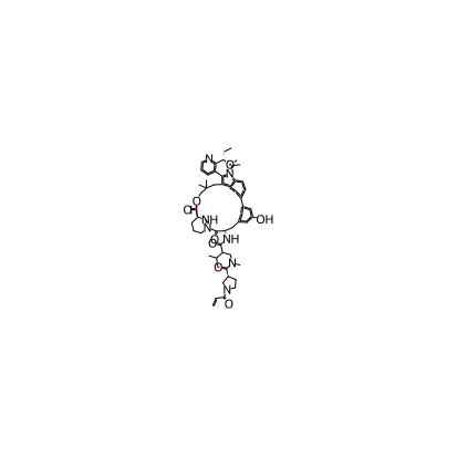 C=CC(=O)N1CC[C@H](C(=O)N(C)CC(C(=O)N[C@H]2Cc3cc(O)cc(c3)-c3ccc4c(c3)c(c(-c3cccnc3[C@H](CC)OC)n4CC)CC(C)(C)COC(=O)[C@@H]3CCCN(N3)C2=O)C(C)C)C1